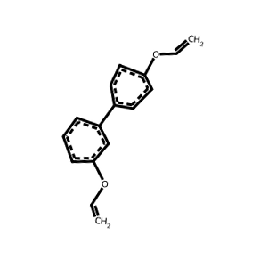 C=COc1ccc(-c2cccc(OC=C)c2)cc1